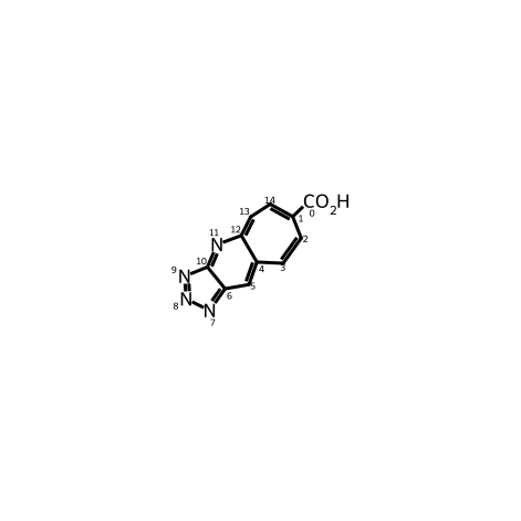 O=C(O)c1ccc2cc3nnnc3nc2cc1